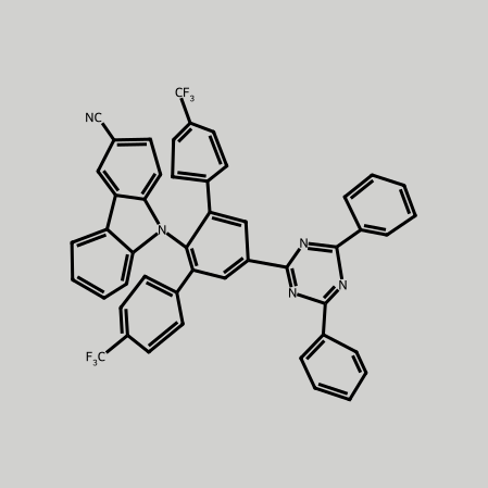 N#Cc1ccc2c(c1)c1ccccc1n2-c1c(-c2ccc(C(F)(F)F)cc2)cc(-c2nc(-c3ccccc3)nc(-c3ccccc3)n2)cc1-c1ccc(C(F)(F)F)cc1